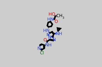 C[C@@H](O)C(=O)N[C@H]1CC[C@H](Nc2cc(NC3CC3)c3ncc(C(=O)Nc4ccnc(Cl)c4)n3n2)CC1